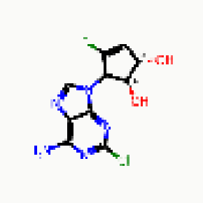 Nc1nc(Cl)nc2c1ncn2C1C(F)=C[C@H](O)[C@H]1O